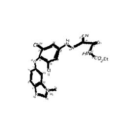 CCOC(=O)NC(=O)/C(C#N)=N/Nc1cc(Cl)c(Oc2ccc3ncn(C)c3c2)c(Cl)c1